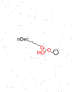 CCCCCCCCCCCCCCCCOC[C@@H](CO)OCc1ccccc1